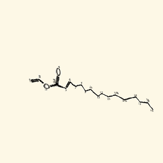 C=COC(=O)C=CCCCCCCCCCCCCC